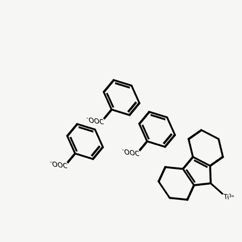 O=C([O-])c1ccccc1.O=C([O-])c1ccccc1.O=C([O-])c1ccccc1.[Ti+3][CH]1C2=C(CCCC2)C2=C1CCCC2